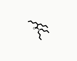 CCCCC(CCCC)C(=O)N(CCCC)CCCC